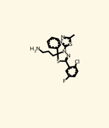 Cc1nnc(N2N=C(c3cc(F)ccc3Cl)SC2(CCCN)c2ccccc2)s1